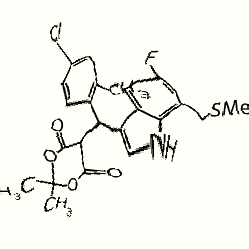 CSCc1cc(F)cc2c(C(c3ccc(Cl)cc3C)C3C(=O)OC(C)(C)OC3=O)c[nH]c12